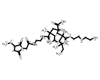 CCC(C)(C)CC(C)(CC(C)(CC(C)(CC(C)C)C(=O)NCCNC(=O)CN1C(=O)CC(SC)C1=O)C(=O)O)C(=O)OCCOCCO